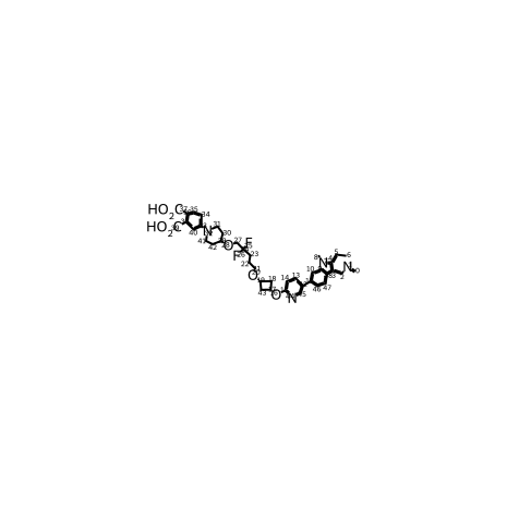 C=N/C=c1\c(=C/C)n(C)c2cc(-c3ccc(O[C@H]4C[C@H](OCCCC(F)(F)COC5CCN(c6ccc(C(=O)O)c(C(=O)O)c6)CC5)C4)nc3)ccc12